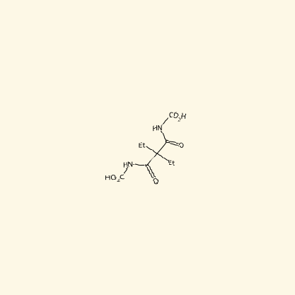 CCC(CC)(C(=O)NC(=O)O)C(=O)NC(=O)O